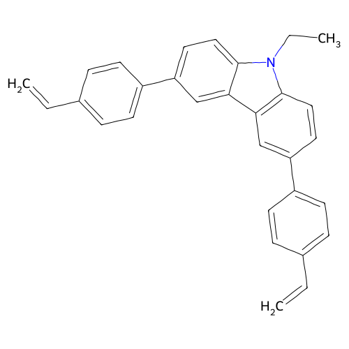 C=Cc1ccc(-c2ccc3c(c2)c2cc(-c4ccc(C=C)cc4)ccc2n3CC)cc1